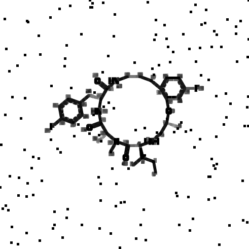 CCC(C)[C@@H]1NC[C@@H](C)Oc2cc(F)ccc2CCCNC(=O)[C@@H](Cc2ccc(F)cc2)NC(=O)[C@@H](C)N(C)C1=O